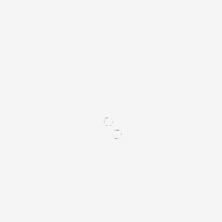 CCCCC1CCC2CC(c3ccc(-c4cc(F)c(F)c(F)c4)c(F)c3)CCC2C1